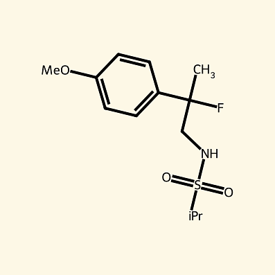 COc1ccc(C(C)(F)CNS(=O)(=O)C(C)C)cc1